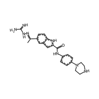 C/C(=N\NC(=N)N)c1ccc2[nH]c(C(=O)Nc3ccc(N4CCNCC4)cc3)cc2c1